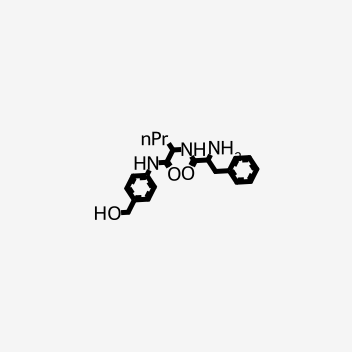 CCCC(NC(=O)C(N)Cc1ccccc1)C(=O)Nc1ccc(CO)cc1